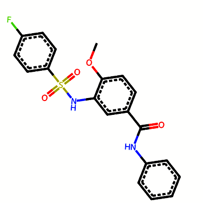 COc1ccc(C(=O)Nc2ccccc2)cc1NS(=O)(=O)c1ccc(F)cc1